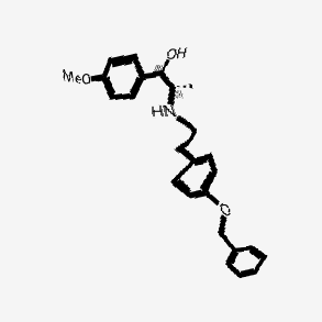 COc1ccc([C@@H](O)[C@H](C)NCCc2ccc(OCc3ccccc3)cc2)cc1